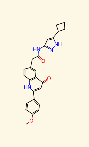 COc1ccc(-c2cc(=O)c3cc(CC(=O)Nc4cc(C5CCC5)[nH]n4)ccc3[nH]2)cc1